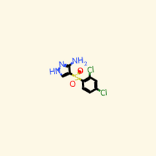 Nc1n[nH]cc1S(=O)(=O)c1ccc(Cl)cc1Cl